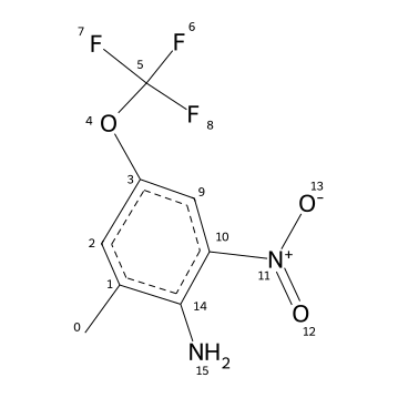 Cc1cc(OC(F)(F)F)cc([N+](=O)[O-])c1N